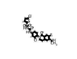 CNc1cc2ccn(-c3ccc(NC(=O)NS(=O)(=O)c4ccc(Cl)s4)cc3Cl)c(=O)c2cc1F